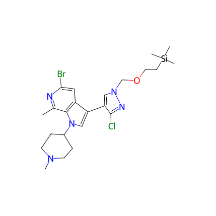 Cc1nc(Br)cc2c(-c3cn(COCC[Si](C)(C)C)nc3Cl)cn(C3CCN(C)CC3)c12